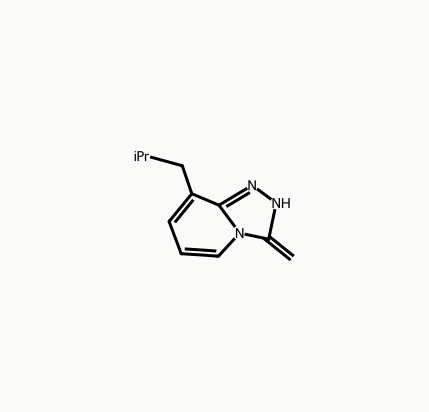 C=C1NN=C2C(CC(C)C)=CC=CN12